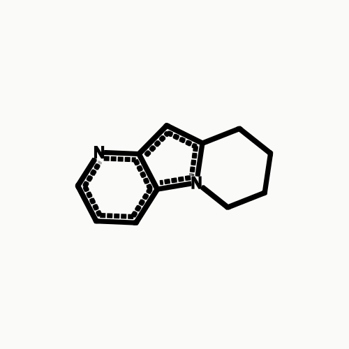 c1cnc2cc3n(c2c1)CCCC3